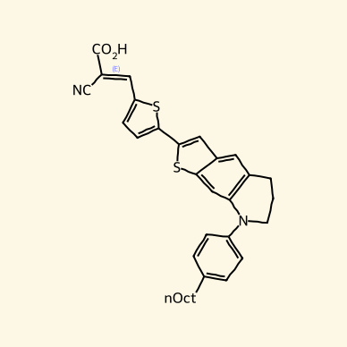 CCCCCCCCc1ccc(N2CCCc3cc4cc(-c5ccc(/C=C(\C#N)C(=O)O)s5)sc4cc32)cc1